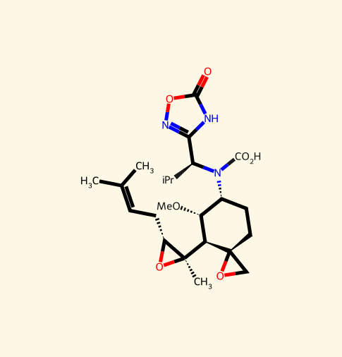 CO[C@@H]1[C@H](N(C(=O)O)[C@H](c2noc(=O)[nH]2)C(C)C)CC[C@]2(CO2)[C@H]1[C@@]1(C)O[C@@H]1CC=C(C)C